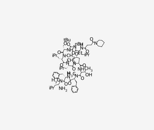 CCCCN(C(=O)N[C@@H](COC(C)(C)C)C(=O)N(C)[C@@H](CC(C)C)C(=O)N(C)[C@@H](CC(C)C)C(=O)N1C[C@H](OCC)C[C@H]1C(=O)NC(C(=O)N(C)[C@@H](Cc1ccccc1)C(=O)N[C@@H](Cc1ccccc1)C(=O)N(C)[C@H](N)CC(C)C)[C@@H](C)O)C(=O)[C@@H](CC(C)C)NC(=O)CCC(=O)N1CCCCC1